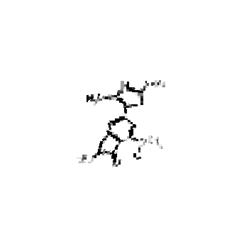 CC(=O)Nc1nc(C)c(-c2cc3c(c([S@+](C)[O-])c2)C(=O)N(C(C)(C)C)C3)s1